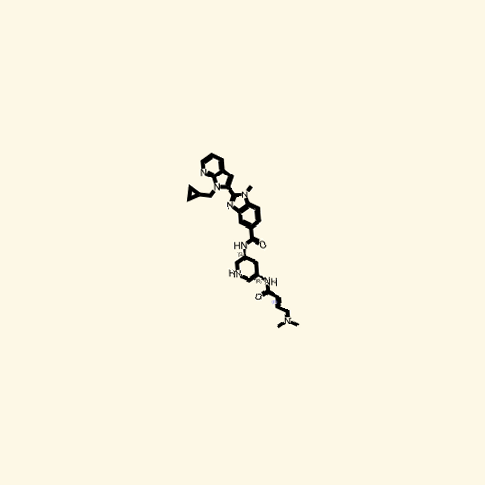 CN(C)C/C=C/C(=O)N[C@H]1CNC[C@@H](NC(=O)c2ccc3c(c2)nc(-c2cc4cccnc4n2CC2CC2)n3C)C1